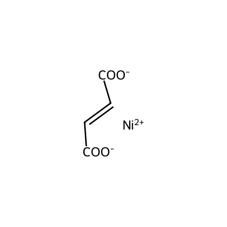 O=C([O-])C=CC(=O)[O-].[Ni+2]